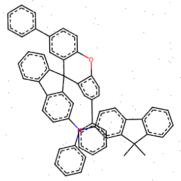 CC1(C)c2ccccc2-c2ccc(N(c3ccccc3)c3ccc4c(c3)C3(c5cc(-c6ccccc6)ccc5Oc5ccc(-c6ccccc6)cc53)c3ccccc3-4)cc21